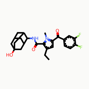 CCc1cc(C(=O)c2ccc(F)c(F)c2)n(C)c1C(=O)NC1C2CC3CC1CC(O)(C3)C2